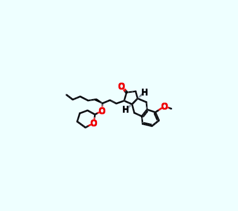 CCCCC[C@@H](CCC1C(=O)C[C@H]2Cc3c(cccc3OC)C[C@@H]12)OC1CCCCO1